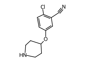 N#Cc1cc(OC2CCNCC2)ccc1Cl